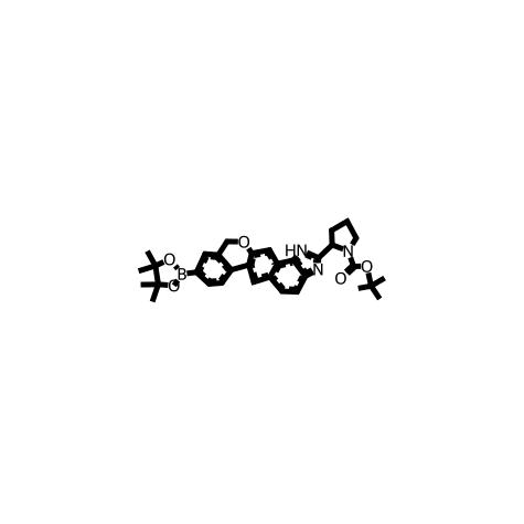 CC(C)(C)OC(=O)N1CCCC1c1nc2ccc3cc4c(cc3c2[nH]1)OCc1cc(B2OC(C)(C)C(C)(C)O2)ccc1-4